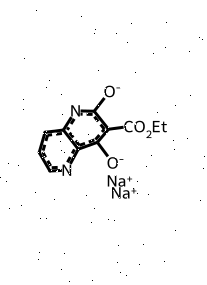 CCOC(=O)c1c([O-])nc2cccnc2c1[O-].[Na+].[Na+]